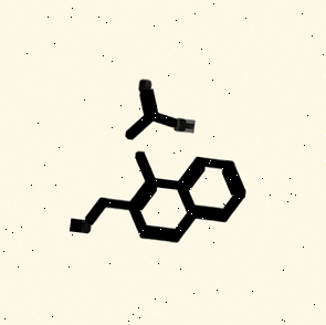 CC(=O)O.Cc1c(CO)ccc2ccccc12